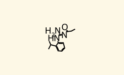 CCC(=O)N=C(N)Nc1ccccc1C(C)C